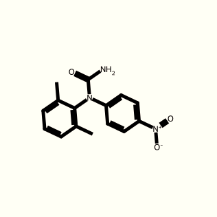 Cc1cccc(C)c1N(C(N)=O)c1ccc([N+](=O)[O-])cc1